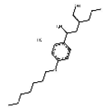 CCCCCCCOc1ccc(C(N)CC(CO)CCC)cc1.Cl